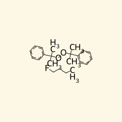 CC(C)(OOC(C)(C)c1ccccc1)c1ccccc1.CCCCF